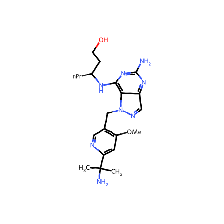 CCCC(CCO)Nc1nc(N)nc2cnn(Cc3cnc(C(C)(C)N)cc3OC)c12